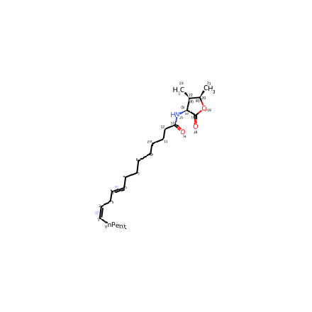 CCCCC/C=C\C/C=C/CCCCCCCC(=O)N[C@@H]1C(=O)O[C@H](C)[C@@H]1C